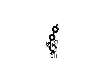 Cc1ccc(-c2ccc(-c3nnc4n3CCSC(C)(CO)C4)c(Cl)c2)cc1